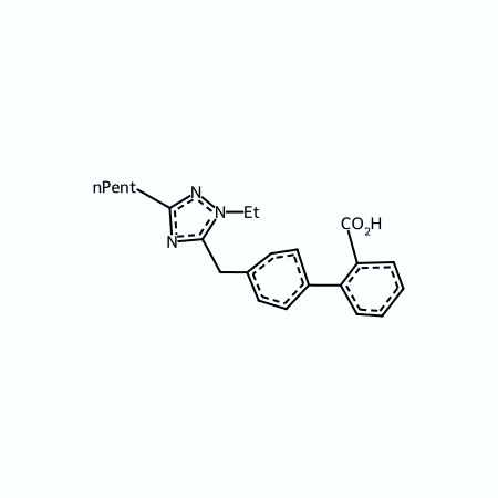 CCCCCc1nc(Cc2ccc(-c3ccccc3C(=O)O)cc2)n(CC)n1